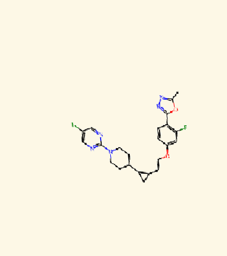 Cc1nnc(-c2ccc(OCCC3CC3C3CCN(c4ncc(F)cn4)CC3)cc2F)o1